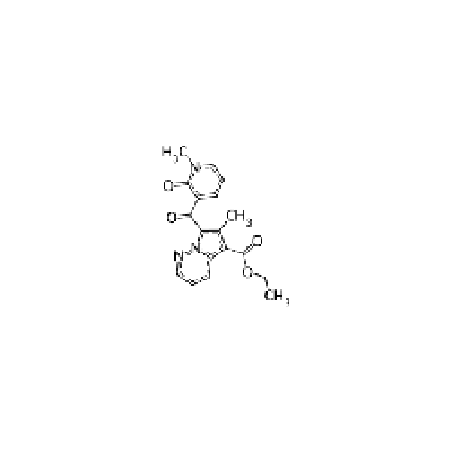 CCOC(=O)c1c(C)c(C(=O)c2cccn(C)c2=O)n2ncccc12